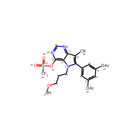 CCCOCCCn1c(-c2cc(OC(C)=O)cc(OC(C)=O)c2)c(C#N)c2ncnc(OS(=O)(=O)C(F)(F)F)c21